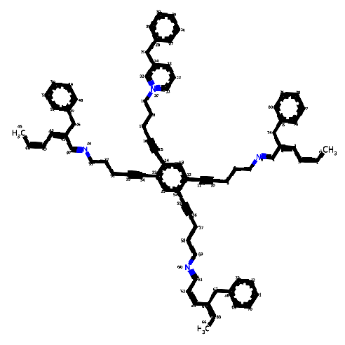 C\C=C/C=C(\C=N\CCCC#Cc1cc(C#CCCC[n+]2cccc(Cc3ccccc3)c2)c(C#CCCC/N=C/C(=C\C=C/C)Cc2ccccc2)cc1C#CCCC/N=C/C=C\C(=C/C)Cc1ccccc1)Cc1ccccc1